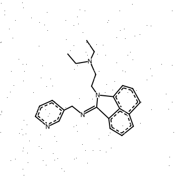 CCN(CC)CCN1C(=NCc2cccnc2)c2cccc3cccc1c23